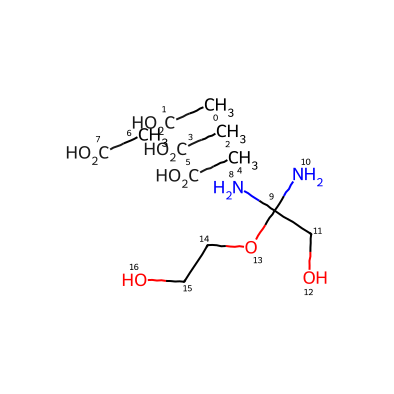 CC(=O)O.CC(=O)O.CC(=O)O.CC(=O)O.NC(N)(CO)OCCO